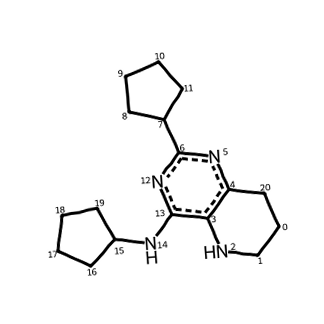 C1CNc2c(nc(C3CCCC3)nc2NC2CCCC2)C1